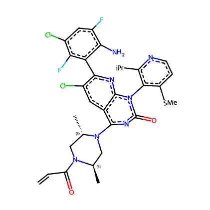 C=CC(=O)N1C[C@H](C)N(c2nc(=O)n(-c3c(SC)ccnc3C(C)C)c3nc(-c4c(N)c(F)cc(Cl)c4F)c(Cl)cc23)C[C@H]1C